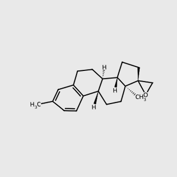 Cc1ccc2c(c1)CC[C@@H]1[C@@H]2CC[C@@]2(C)[C@H]1CC[C@]21CO1